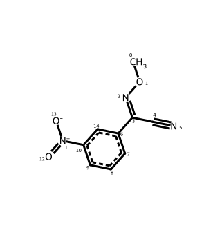 CON=C(C#N)c1cccc([N+](=O)[O-])c1